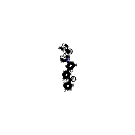 CCN(CC)C(=O)O/N=C(\CF)c1cccc(-c2cccc(C(=O)c3ccccc3)c2)c1